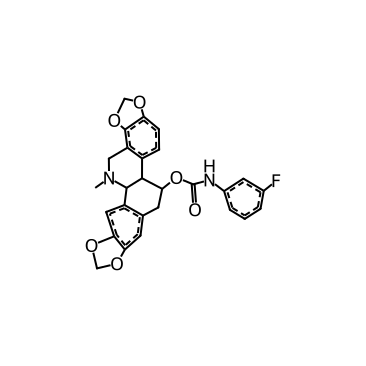 CN1Cc2c(ccc3c2OCO3)C2C(OC(=O)Nc3cccc(F)c3)Cc3cc4c(cc3C21)OCO4